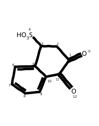 O=C1CC(S(=O)(=O)O)c2ccccc2C1=O